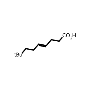 CC(C)(C)CC/C=C/CCC(=O)O